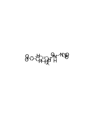 C=C(C)C1CC[C@]2(/C=C/C(=O)NCCCN3CCS(=O)(=O)CC3)CC[C@]3(C)[C@H](CC[C@@H]4[C@@]5(C)CC=C(c6ccc(C(=O)OC)cc6)C(C)(C)[C@@H]5CC[C@]43C)[C@@H]12